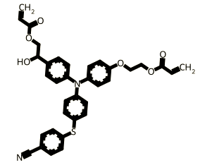 C=CC(=O)OCCOc1ccc(N(c2ccc(Sc3ccc(C#N)cc3)cc2)c2ccc(C(O)COC(=O)C=C)cc2)cc1